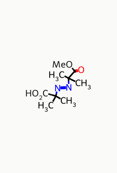 COC(=O)C(C)(C)N=NC(C)(C)C(=O)O